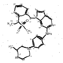 CC1CN(c2ccc(Nc3ncc4ccn(Cc5cccnc5C(C)S(C)(=O)=O)c4n3)cc2)CCN1